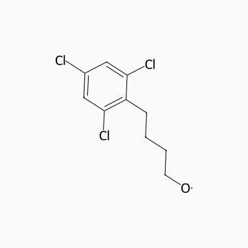 [O]CCCCc1c(Cl)cc(Cl)cc1Cl